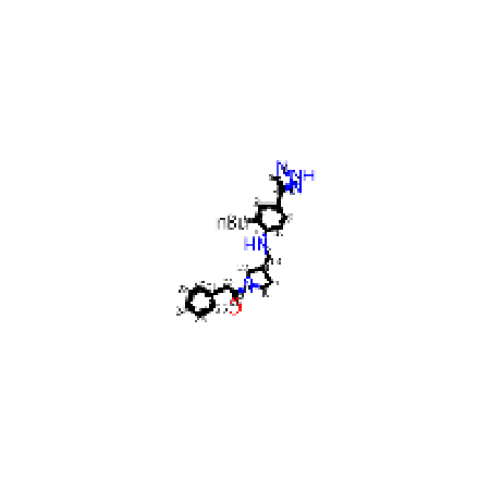 CCCCc1cc(-c2cn[nH]n2)ccc1NCC1CCN(C(=O)Cc2ccccc2)C1